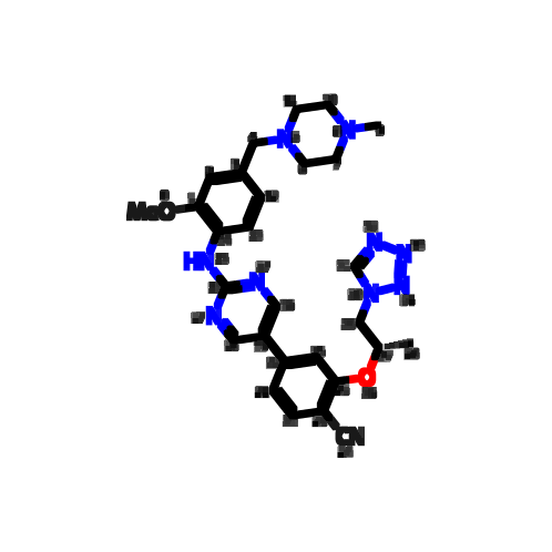 COc1cc(CN2CCN(C)CC2)ccc1Nc1ncc(-c2ccc(C#N)c(O[C@@H](C)Cn3cnnn3)c2)cn1